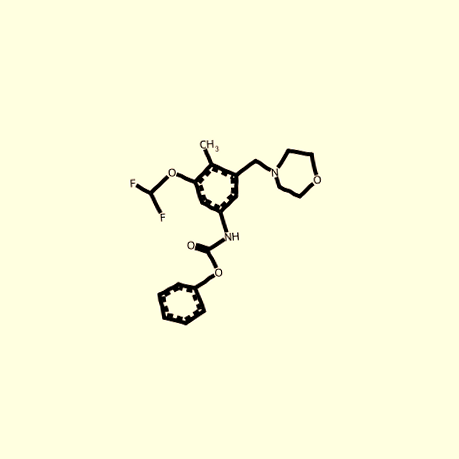 Cc1c(CN2CCOCC2)cc(NC(=O)Oc2ccccc2)cc1OC(F)F